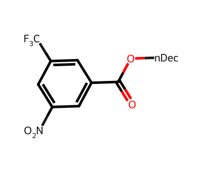 CCCCCCCCCCOC(=O)c1cc([N+](=O)[O-])cc(C(F)(F)F)c1